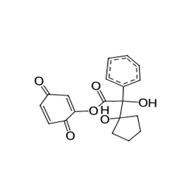 O=C1C=CC(=O)C(OC(=O)C(O)(c2ccccc2)C2(O)CCCC2)=C1